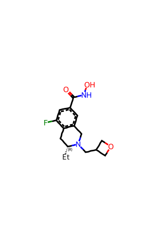 CC[C@@H]1Cc2c(F)cc(C(=O)NO)cc2CN1CC1COC1